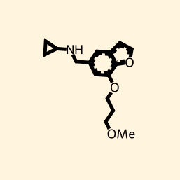 COCCCOc1cc(CNC2CC2)cc2ccoc12